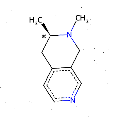 C[C@@H]1Cc2ccncc2CN1C